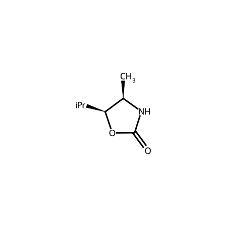 CC(C)[C@@H]1OC(=O)N[C@@H]1C